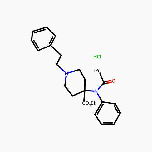 CCCC(=O)N(c1ccccc1)C1(C(=O)OCC)CCN(CCc2ccccc2)CC1.Cl